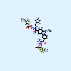 C=C(O/N=C(\CC)C(=O)c1ccc2c(c1)c1cc(C(=O)/C(CCC3CCCC3)=N/OC(=O)C3CC(CC)CS3)ccc1n2CCCC)C1CC(CC)CS1